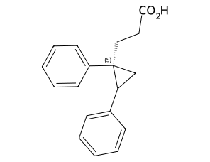 O=C(O)CC[C@]1(c2ccccc2)CC1c1ccccc1